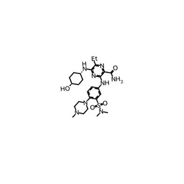 CCc1nc(C(N)=O)c(Nc2ccc(N3CCN(C)CC3)c(S(=O)(=O)N(C)C)c2)nc1N[C@H]1CC[C@H](O)CC1